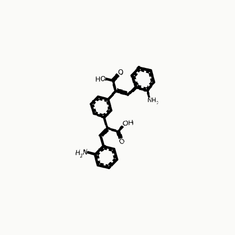 Nc1ccccc1C=C(C(=O)O)c1cccc(C(=Cc2ccccc2N)C(=O)O)c1